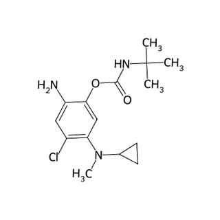 CN(c1cc(OC(=O)NC(C)(C)C)c(N)cc1Cl)C1CC1